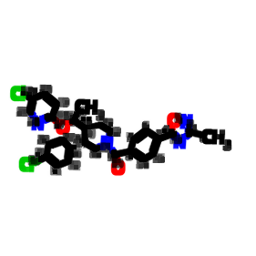 Cc1noc(-c2ccc(C(=O)N3CC[C@H]([C@H](C)Oc4ccc(Cl)cn4)[C@@H](c4ccc(Cl)cc4)C3)cc2)n1